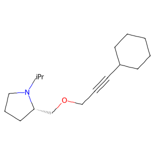 CC(C)N1CCC[C@H]1COCC#CC1CCCCC1